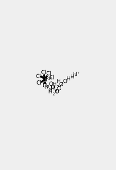 O.O.O.O.O.O.[Cl][Ir-3]([Cl])([Cl])([Cl])([Cl])[Cl].[H+].[H+].[H+]